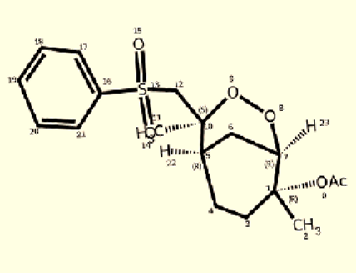 CC(=O)O[C@]1(C)CC[C@@H]2C[C@H]1OO[C@]2(C)CS(=O)(=O)c1ccccc1